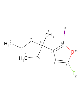 CCCC(C)(CC)c1cc(F)oc1I